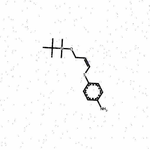 CC(C)(C)[Si](C)(C)OC/C=C\Sc1ccc(N)cc1